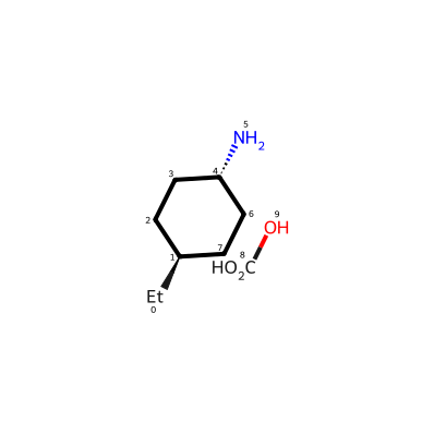 CC[C@H]1CC[C@H](N)CC1.O=C(O)O